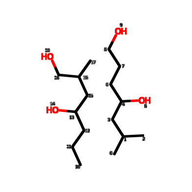 CC(C)CC(O)CCCO.CCCC(O)CC(C)CO